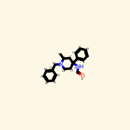 CC1CC(NC=O)(c2ccccc2)CCN1Cc1ccccc1